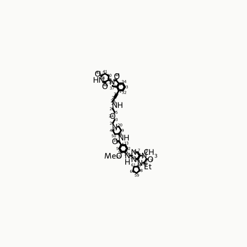 CC[C@@H]1C(=O)N(C)c2cnc(Nc3ccc(C(=O)NC4CCN(CCOCCNCC#Cc5cccc6c5CN(C5CCC(=O)NC5=O)C6=O)CC4)cc3OC)nc2N1C1CCCC1